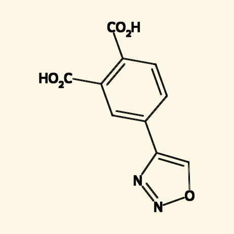 O=C(O)c1ccc(-c2conn2)cc1C(=O)O